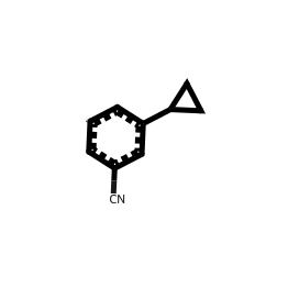 N#Cc1c[c]cc(C2CC2)c1